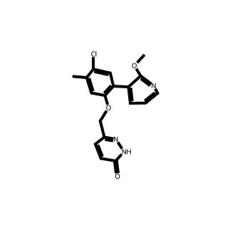 COc1ncccc1-c1cc(Cl)c(C)cc1OCc1ccc(=O)[nH]n1